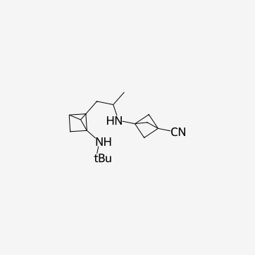 CC(CC1C2CC1(NC(C)(C)C)C2)NC12CC(C#N)(C1)C2